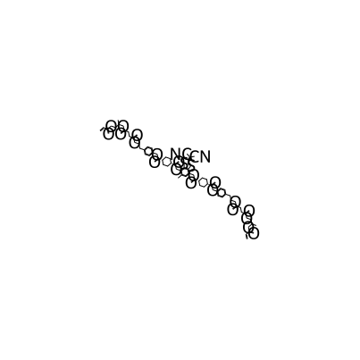 C=CC(=O)OCC(C)OC(=O)CCC(=O)OCCc1ccc(OC(=O)[C@H]2CC[C@H](C(=O)Oc3c(C)cc(OC(=O)[C@H]4CC[C@H](C(=O)Oc5ccc(CCOC(=O)CCC(=O)OCC(C)OC(=O)C=C)cc5)CC4)c4c3SC(=C(C#N)C#N)S4)CC2)cc1